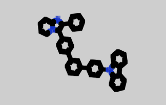 c1ccc(-c2nc3ccccn3c2-c2ccc(-c3cccc(-c4ccc(-n5c6ccccc6c6ccccc65)cc4)c3)cc2)cc1